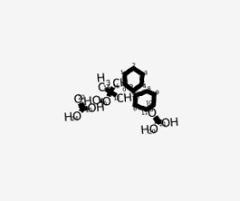 C1CCCCC1.C1CCCCC1.CC(C)(C)OO.O=C(O)O.O=C(O)O